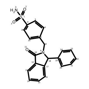 NS(=O)(=O)c1ccc(CN2C(=O)c3ccccc3C2c2ccccc2)cc1